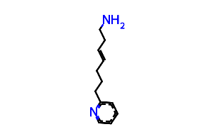 NCC/C=C/CCCc1ccccn1